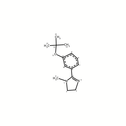 CN1CCN=C1c1cccc(OC(C)(C)C)c1